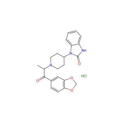 CC(C(=O)c1ccc2c(c1)OCO2)N1CCC(n2c(=O)[nH]c3ccccc32)CC1.Cl